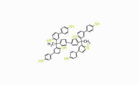 CC(c1ccc(-c2ccc(C(C)(c3cc(-c4ccc(S)cc4)ccc3S)c3cc(-c4ccc(S)cc4)ccc3S)cc2)cc1)(c1cc(-c2ccc(S)cc2)ccc1S)c1cc(-c2ccc(S)cc2)ccc1S